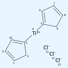 C1=CC[C]([Ti+3][C]2=CC=CC2)=C1.[Cl-].[Cl-].[Cl-]